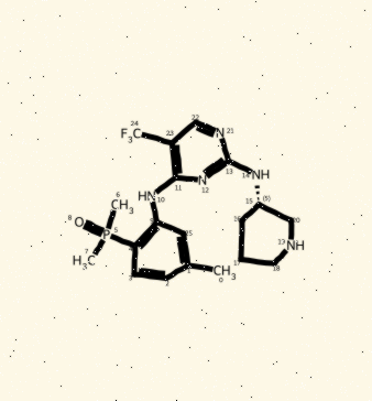 Cc1ccc(P(C)(C)=O)c(Nc2nc(N[C@H]3CCCNC3)ncc2C(F)(F)F)c1